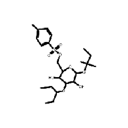 CCC(CC)OC1C(O)C(COS(=O)(=O)c2ccc(C)cc2)OC(OC(C)(C)CC)C1O